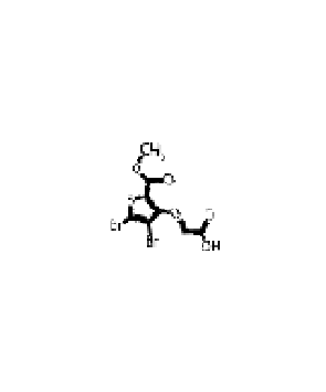 COC(=O)c1sc(Br)c(Br)c1OCC(=O)O